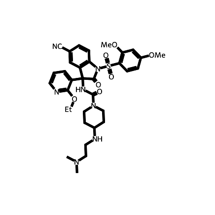 CCOc1ncccc1C1(NC(=O)N2CCC(NCCN(C)C)CC2)C(=O)N(S(=O)(=O)c2ccc(OC)cc2OC)c2ccc(C#N)cc21